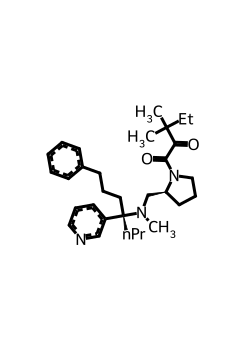 CCC[C@](CCCc1ccccc1)(c1cccnc1)N(C)C[C@@H]1CCCN1C(=O)C(=O)C(C)(C)CC